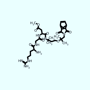 COC(=O)CC(NC(=O)CNC(=O)C(N)CCCNC(=N)N)C(=O)NC(C)(C)CCOC(C)(C)CN1C(=O)C2C3C=CC(C3)C2C1=O